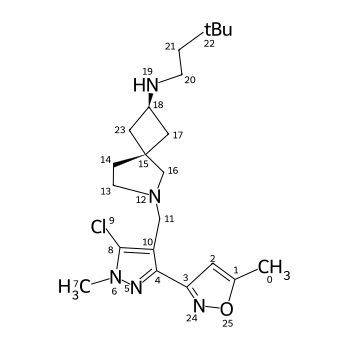 Cc1cc(-c2nn(C)c(Cl)c2CN2CC[C@]3(C2)C[C@H](NCCC(C)(C)C)C3)no1